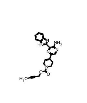 CC#CCOC(=O)N1CC=C(c2cnc(N)c(-c3nc4ccccc4[nH]3)n2)CC1